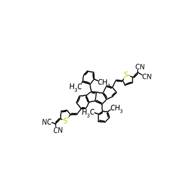 Cc1cccc(C)c1C1=C2C(=C(c3c(C)cccc3C)c3ccc(/C=c4\ccc(=C(C#N)C#N)s4)cc32)c2cc(/C=c3\ccc(=C(C#N)C#N)s3)ccc21